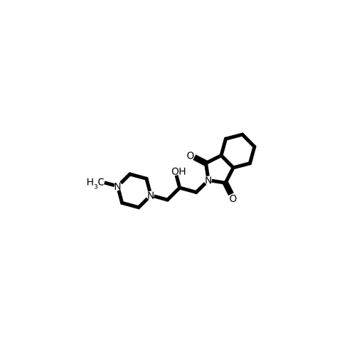 CN1CCN(CC(O)CN2C(=O)C3CCCCC3C2=O)CC1